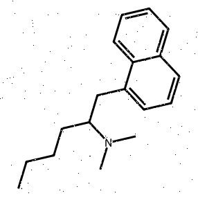 [CH2]CCCC(Cc1cccc2ccccc12)N(C)C